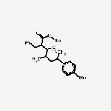 CC(C)CC(C(=O)OC(C)(C)C)C(C)C(C)CC(C)c1ccc(C(C)(C)C)cc1